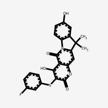 CC1(C)c2cc(O)ccc2-n2c1cc1oc(=O)c(Sc3cccc(F)c3)c(O)c1c2=O